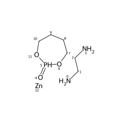 NCCN.O=[PH]1OCCCCO1.[Zn]